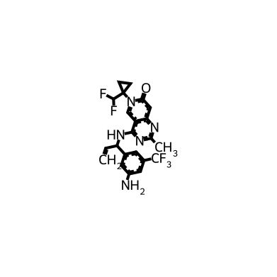 C=CC(Nc1nc(C)nc2cc(=O)n(C3(C(F)F)CC3)cc12)c1cc(N)cc(C(F)(F)F)c1